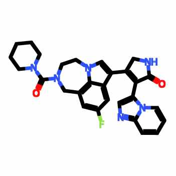 O=C1NCC(c2cn3c4c(cc(F)cc24)CN(C(=O)N2CCCCC2)CC3)=C1c1cnc2ccccn12